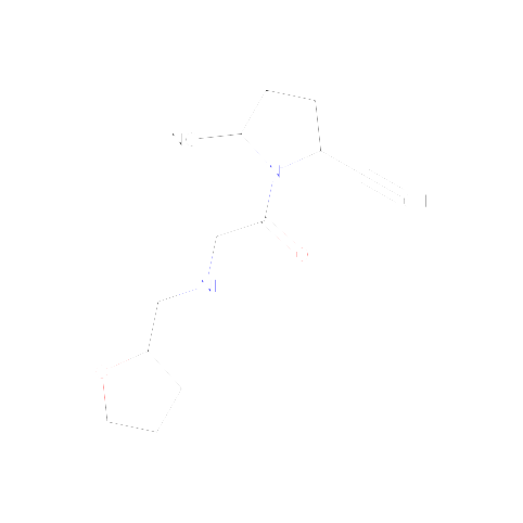 C#CC1CCC(C#N)N1C(=O)CNCC1CCCO1